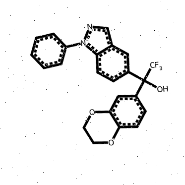 OC(c1ccc2c(c1)OCCO2)(c1ccc2c(cnn2-c2ccccc2)c1)C(F)(F)F